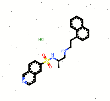 C[C@H](CNCCc1cccc2ccccc12)NS(=O)(=O)c1ccc2cnccc2c1.Cl